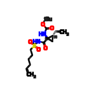 C=CCCCCS(=O)(=O)NC(=O)[C@@]1(NC(=O)OC(C)(C)C)C[C@H]1C=C